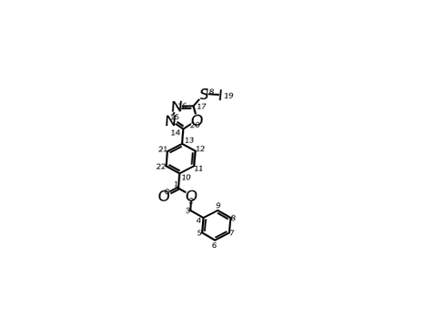 O=C(OCc1ccccc1)c1ccc(-c2nnc(SI)o2)cc1